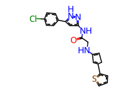 O=C(CNC1=CCC(c2cccs2)=C1)Nc1cc(-c2ccc(Cl)cc2)[nH]n1